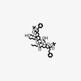 CCCCOC(=O)C(CC(CC(C)(CCc1ccccc1)C(=O)OC(C)(C)C)C(=O)OCCO)SC(=S)SC(CC(CC(C)(CCc1ccccc1)C(=O)OC(C)(C)C)C(=O)OCCO)C(=O)OCCCC